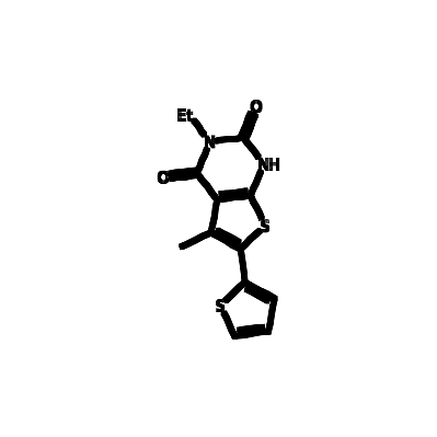 CCn1c(=O)[nH]c2sc(-c3cccs3)c(C)c2c1=O